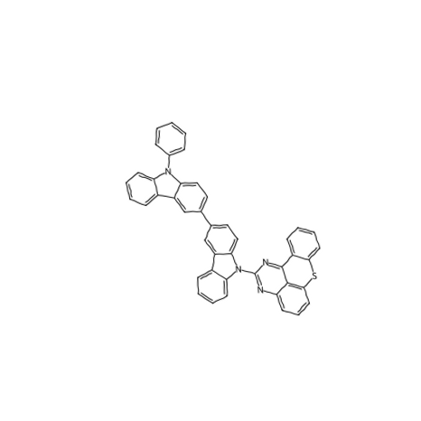 c1ccc(-n2c3ccccc3c3cc(-c4ccc5c(c4)c4ccccc4n5-c4nc5c6c(cccc6n4)Sc4ccccc4-5)ccc32)cc1